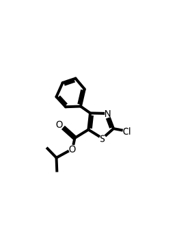 CC(C)OC(=O)c1sc(Cl)nc1-c1ccccc1